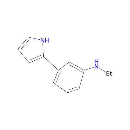 CCNc1cccc(-c2ccc[nH]2)c1